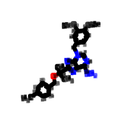 COc1ccc(Cn2cnc(N)c3nc(C(C)(C)OCc4ccc(C)cc4)nc2-3)cc1OC